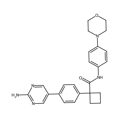 Nc1ncc(-c2ccc(C3(C(=O)Nc4ccc(N5CCOCC5)cc4)CCC3)cc2)cn1